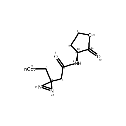 CCCCCCCCCC1(CC(=O)N[C@H]2CCOC2=O)N=N1